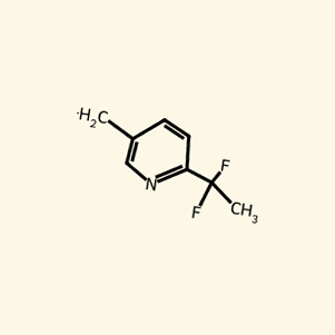 [CH2]c1ccc(C(C)(F)F)nc1